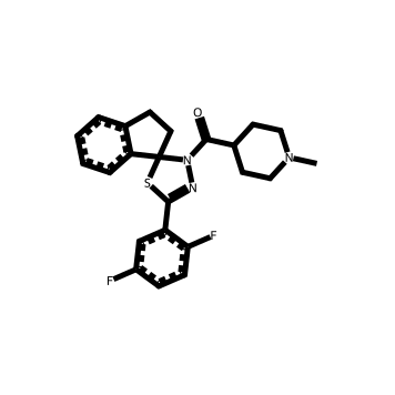 CN1CCC(C(=O)N2N=C(c3cc(F)ccc3F)SC23CCc2ccccc23)CC1